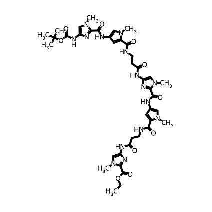 CCOC(=O)c1nc(NC(=O)CCNC(=O)c2cc(NC(=O)c3nc(NC(=O)CCNC(=O)c4cc(NC(=O)c5nc(NC(=O)OC(C)(C)C)cn5C)cn4C)cn3C)cn2C)cn1C